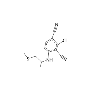 C#Cc1c(NC(C)CSC)ccc(C#N)c1Cl